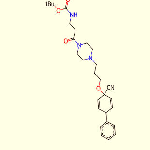 CC(C)(C)OC(=O)NCCC(=O)N1CCN(CCCOC2(C#N)C=CC(c3ccccc3)C=C2)CC1